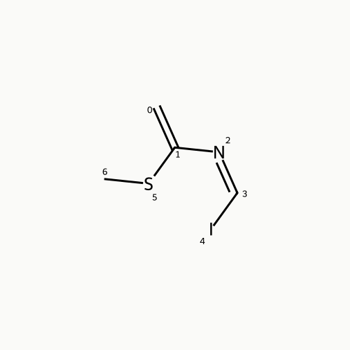 C=C(/N=C\I)SC